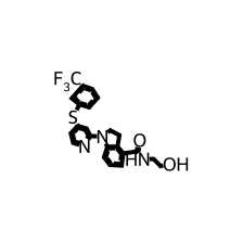 O=C(NCCO)c1cccc2c1CCN2c1cc(Sc2cccc(C(F)(F)F)c2)ccn1